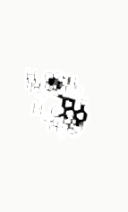 C=C(C)C(O)c1cc(CO[Si](C)(C)C(C)(C)C)ccc1-c1cc(OC)ccc1F